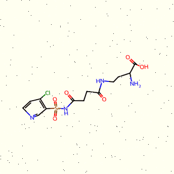 NC(CCNC(=O)CCC(=O)NS(=O)(=O)c1cnccc1Cl)C(=O)O